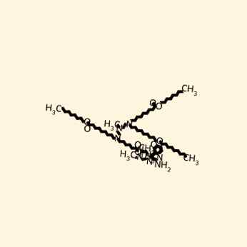 CCCCCCCCCOC(=O)CCCCCCCCN(CCCCCCCCC(=O)OCCCCCCCCC)CCN(C)CCN(CCCCCCCCC(=O)OCCCCCCCCC)CCCCCC(=O)OC(C)(C)Cn1c(CNCC)nc2c(N)nc3ccccc3c21